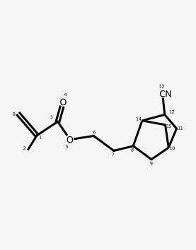 C=C(C)C(=O)OCCC1CC2CC(C#N)C1C2